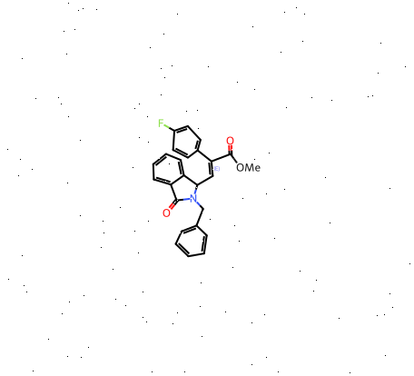 COC(=O)/C(=C/C1c2ccccc2C(=O)N1Cc1ccccc1)c1ccc(F)cc1